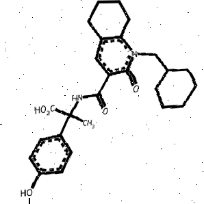 CC(NC(=O)c1cc2c(n(CC3CCCCC3)c1=O)CCCC2)(C(=O)O)c1ccc(O)cc1